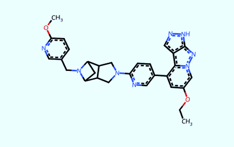 CCOc1cc(-c2ccc(N3CC4C(C3)C3CC4N3Cc3ccc(OC)nc3)nc2)c2c3cn[nH]c3nn2c1